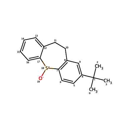 CC(C)(C)c1ccc2c(c1)CCc1ccccc1[S+]2[O-]